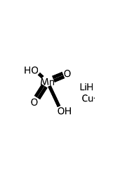 [Cu].[LiH].[O]=[Mn](=[O])([OH])[OH]